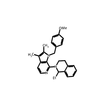 CCC1c2ccccc2CCN1c1nccc2c(C)c(C)n(Cc3ccc(OC)cc3)c12